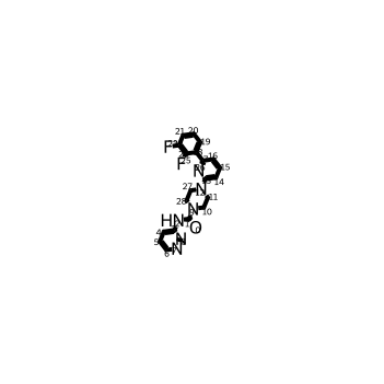 O=C(Nc1cccnn1)N1CCN(c2cccc(-c3cccc(F)c3F)n2)CC1